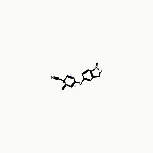 C=C/C=C(\C=C/C(=C)C#N)Oc1ccc2c(c1)COB2C